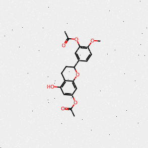 COc1ccc(C2CCc3c(O)cc(OC(C)=O)cc3O2)cc1OC(C)=O